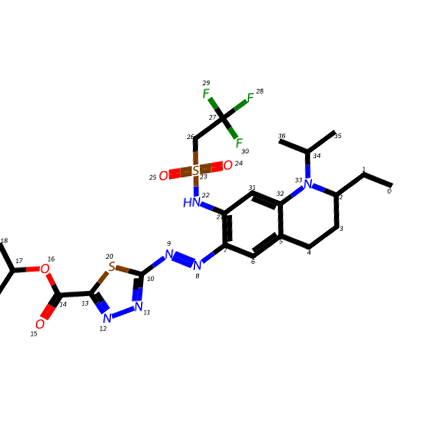 CCC1CCc2cc(N=Nc3nnc(C(=O)OC(C)C)s3)c(NS(=O)(=O)CC(F)(F)F)cc2N1C(C)C